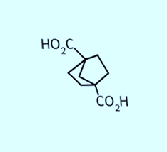 O=C(O)C12CCC(C(=O)O)(CC1)C2